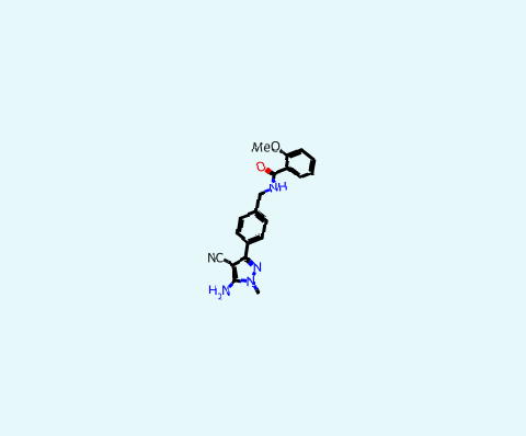 COc1ccccc1C(=O)NCc1ccc(-c2nn(C)c(N)c2C#N)cc1